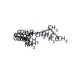 COc1cccc2c1C(=O)c1c(O)c3c(c(O)c1C2=O)CC(O)(C(=O)COC(=O)CC/C(C)=C/CC/C(C)=C/CC/C=C(\C)CC/C=C(\C)CCC=C(C)C)CC3OC1CC(N)C(O)C(C)O1